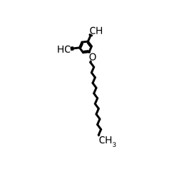 C#Cc1cc(C#C)cc(OCCCCCCCCCCCCCCCC)c1